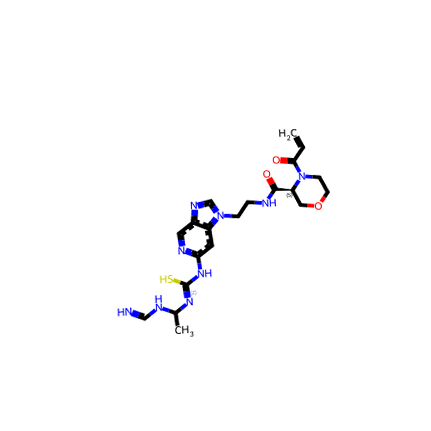 C=CC(=O)N1CCOC[C@H]1C(=O)NCCn1cnc2cnc(N/C(S)=N/C(C)NC=N)cc21